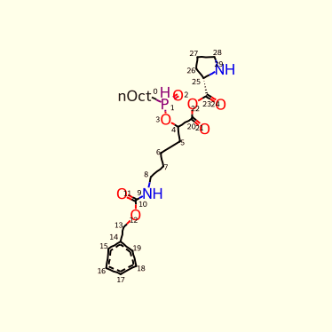 CCCCCCCC[PH](=O)OC(CCCCNC(=O)OCc1ccccc1)C(=O)OC(=O)[C@@H]1CCCN1